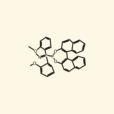 CN=P(c1ccccc1OC)(c1ccccc1OC)p1oc2ccc3ccccc3c2c2c(ccc3ccccc32)o1